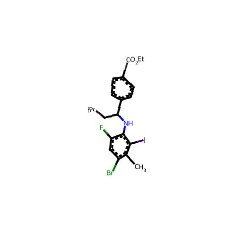 CCOC(=O)c1ccc(C(CC(C)C)Nc2c(F)cc(Br)c(C)c2I)cc1